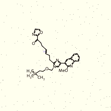 COc1nc2ccccc2cc1-c1cn(COCC[Si](C)(C)C)c(CC/C=C/CCC(=O)c2ncco2)n1